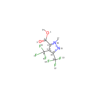 COC(=O)c1c(C(F)(F)F)c(C(F)(F)F)nn1C